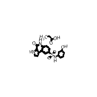 CCC(=O)O.O=c1[nH]c2ccc(S(=O)(=O)Nc3cccc(O)c3)cc2c2cc[nH]c12